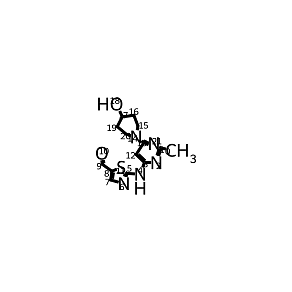 Cc1nc(Nc2ncc(C=O)s2)cc(N2CCC(O)CC2)n1